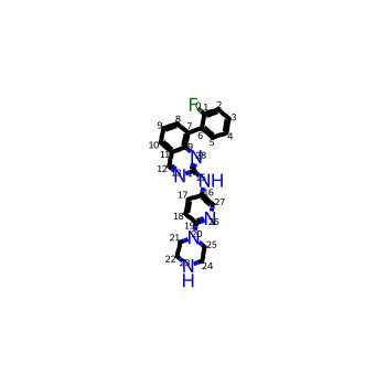 Fc1ccccc1-c1cccc2cnc(Nc3ccc(N4CCNCC4)nc3)nc12